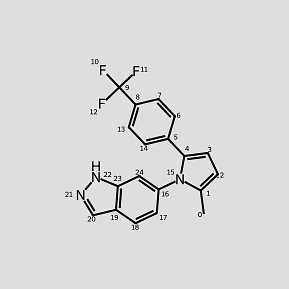 Cc1[c]cc(-c2ccc(C(F)(F)F)cc2)n1-c1ccc2cn[nH]c2c1